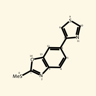 CSc1nc2ccc(-c3cscn3)cc2o1